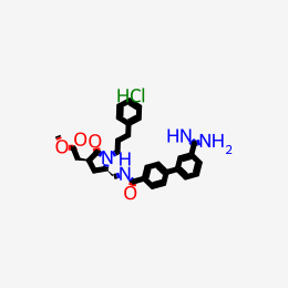 COC(=O)C[C@@H]1C[C@@H](CNC(=O)c2ccc(-c3cccc(C(=N)N)c3)cc2)N(CCCc2ccccc2)C1=O.Cl